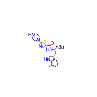 CCCCC(Cc1c[nH]c2c(C)cccc12)NC(=O)c1cnc(N2CCNCC2)s1